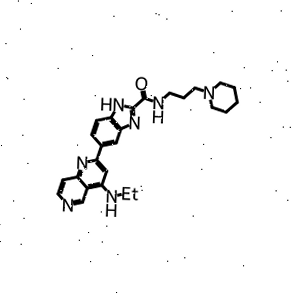 CCNc1cc(-c2ccc3[nH]c(C(=O)NCCCN4CCCCC4)nc3c2)nc2ccncc12